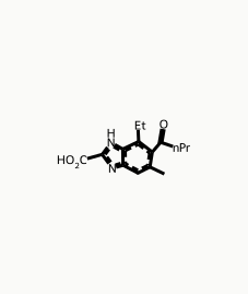 CCCC(=O)c1c(C)cc2nc(C(=O)O)[nH]c2c1CC